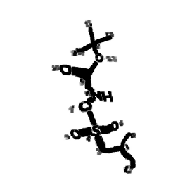 CC(C)CS(=O)(=O)ONC(=O)OC(C)(C)C